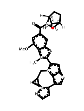 COc1cc(C(=O)N2C[C@H]3CC[C@@H]2[C@@H]3N)cc2nc(-c3cc4scc(-c5ccnn5C)c4n3CC3CC3)n(C)c12